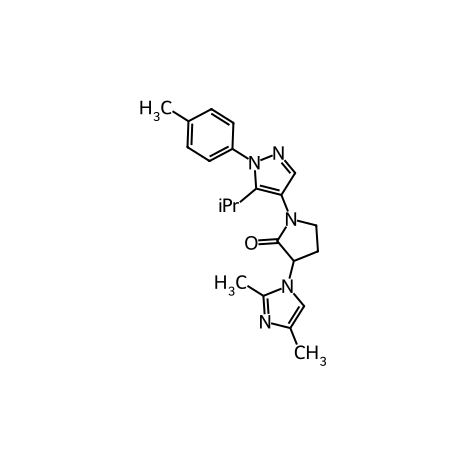 Cc1ccc(-n2ncc(N3CCC(n4cc(C)nc4C)C3=O)c2C(C)C)cc1